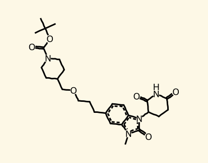 Cn1c(=O)n(C2CCC(=O)NC2=O)c2ccc(CCCOCC3CCN(C(=O)OC(C)(C)C)CC3)cc21